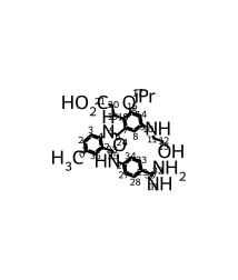 Cc1ccc(NCc2cc(NCCO)cc(OC(C)C)c2CCC(=O)O)c(C(=O)Nc2ccc(C(=N)N)cc2)c1